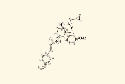 CC(=O)Oc1cccc([C@@]23CCN(CC4CC4)C[C@H]2CC[C@@H](NC(=O)C#Cc2ccc(C(F)(F)F)cc2)C3)c1